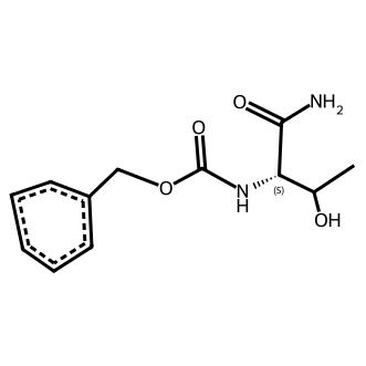 CC(O)[C@H](NC(=O)OCc1ccccc1)C(N)=O